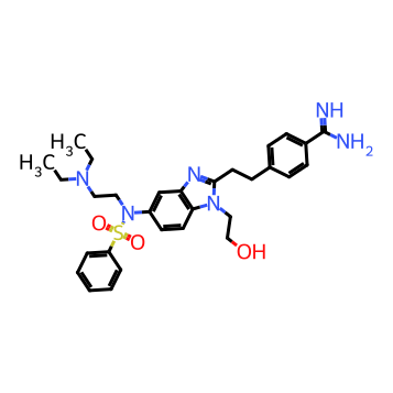 CCN(CC)CCN(c1ccc2c(c1)nc(CCc1ccc(C(=N)N)cc1)n2CCO)S(=O)(=O)c1ccccc1